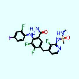 CNS(C)(=O)=Nc1nccc(Cc2cc(C(N)=O)c(Nc3ccc(I)cc3F)c(F)c2F)c1F